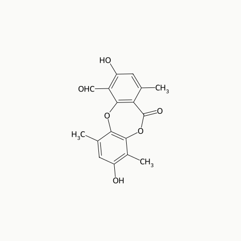 Cc1cc(O)c(C)c2c1Oc1c(C=O)c(O)cc(C)c1C(=O)O2